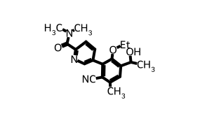 CCOc1c(C(C)O)cc(C)c(C#N)c1-c1ccc(C(=O)N(C)C)nc1